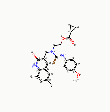 CCOc1ccc(NC(=S)N(CCOC(=O)C2CC2)Cc2cc3cc(C)cc(C)c3[nH]c2=O)cc1